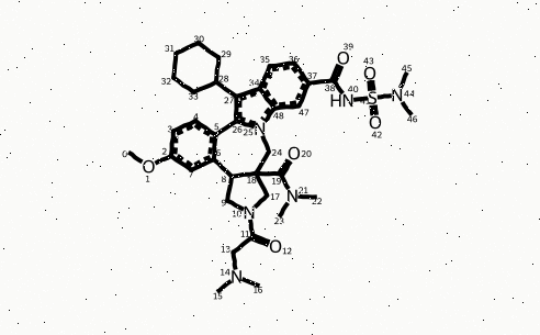 COc1ccc2c(c1)C1CN(C(=O)CN(C)C)CC1(C(=O)N(C)C)Cn1c-2c(C2CCCCC2)c2ccc(C(=O)NS(=O)(=O)N(C)C)cc21